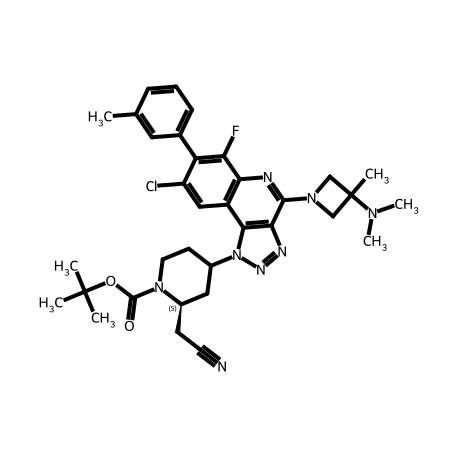 Cc1cccc(-c2c(Cl)cc3c(nc(N4CC(C)(N(C)C)C4)c4nnn(C5CCN(C(=O)OC(C)(C)C)[C@H](CC#N)C5)c43)c2F)c1